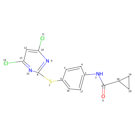 O=C(Nc1ccc(Sc2nc(Cl)cc(Cl)n2)cc1)C1CC1